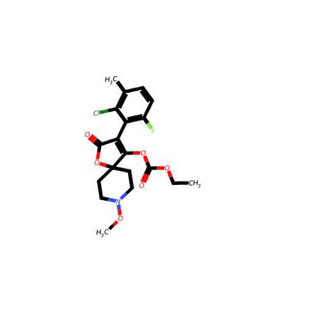 CCOC(=O)OC1=C(c2c(F)ccc(C)c2Cl)C(=O)OC12CCN(OC)CC2